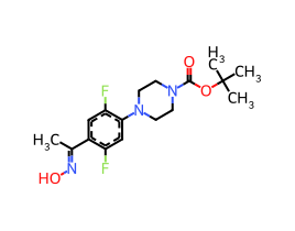 CC(=NO)c1cc(F)c(N2CCN(C(=O)OC(C)(C)C)CC2)cc1F